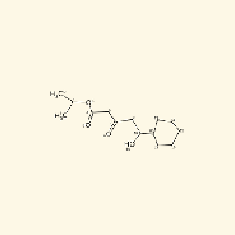 CC(C)OC(=O)CC(=O)CC(O)C1CCCCC1